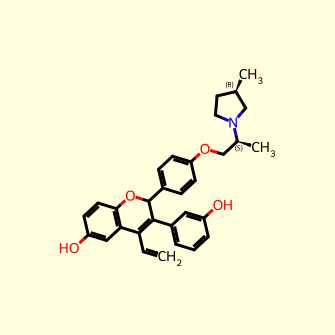 C=CC1=C(c2cccc(O)c2)C(c2ccc(OC[C@H](C)N3CC[C@@H](C)C3)cc2)Oc2ccc(O)cc21